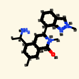 Cc1cc(C(C)N)c2cc(-c3cccc4cn(C)nc34)n(C)c(=O)c2c1